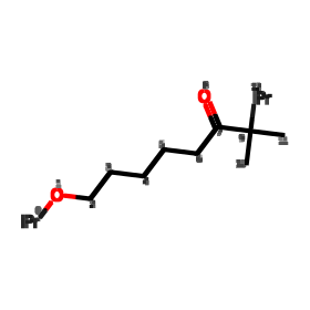 CC(C)OCCCCCC(=O)C(C)(C)C(C)C